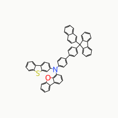 c1ccc2c(c1)-c1ccccc1C2(c1ccc(-c2ccc(N(c3ccc4c(c3)sc3ccccc34)c3cccc4c3oc3ccccc34)cc2)cc1)c1ccc2ccccc2c1